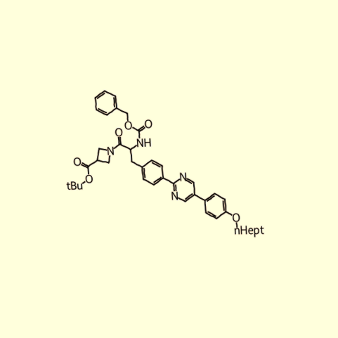 CCCCCCCOc1ccc(-c2cnc(-c3ccc(CC(NC(=O)OCc4ccccc4)C(=O)N4CC(C(=O)OC(C)(C)C)C4)cc3)nc2)cc1